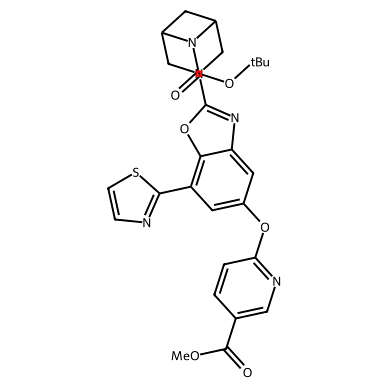 COC(=O)c1ccc(Oc2cc(-c3nccs3)c3oc(N4CC5CC(C4)N5C(=O)OC(C)(C)C)nc3c2)nc1